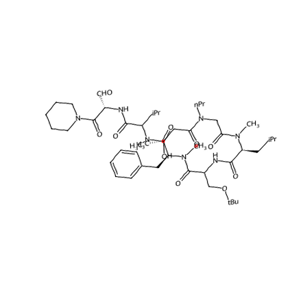 CCCN(CC(=O)N(C)[C@@H](CC(C)C)C(=O)NC(COC(C)(C)C)C(=O)N(C)[C@@H](Cc1ccccc1)C(=O)N(C)C(C(=O)N[C@@H](C=O)C(=O)N1CCCCC1)C(C)C)C(=O)C[C@@H](C)O